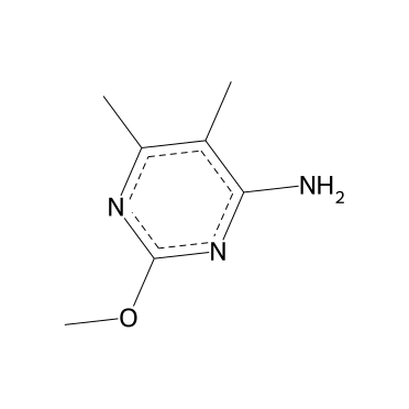 COc1nc(C)c(C)c(N)n1